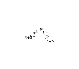 [Ce+3].[F-].[F-].[F-].[F-].[F-].[F-].[Nd+3]